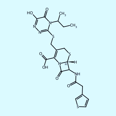 CCC(C)n1c(SCC2=C(C(=O)O)N3C(=O)C(NC(=O)Cc4ccsc4)[C@H]3SC2)nnc(O)c1=O